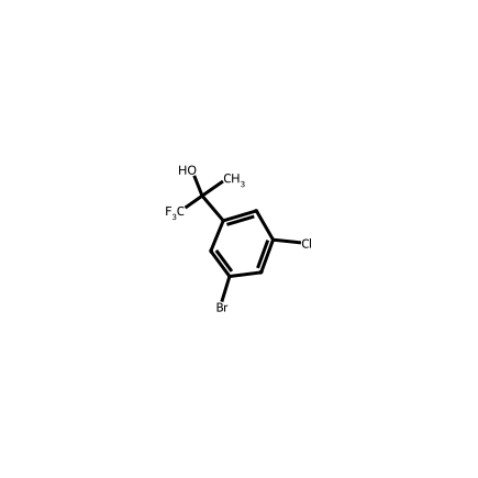 CC(O)(c1cc(Cl)cc(Br)c1)C(F)(F)F